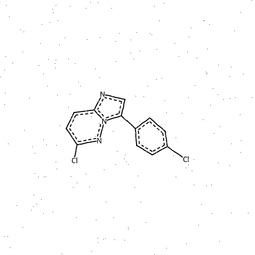 Clc1ccc(-c2cnc3ccc(Cl)nn23)cc1